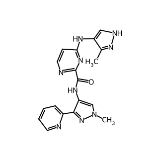 Cc1n[nH]cc1Nc1ccnc(C(=O)Nc2cn(C)nc2-c2ccccn2)n1